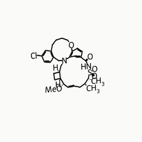 CO[C@H]1/C=C/C[C@H](C)[C@@H](C)S(=O)(=O)NC(=O)c2ccc3c(c2)N(Cc2ccc(Cl)cc2CCCCO3)C[C@@H]2CC[C@H]21